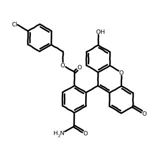 NC(=O)c1ccc(C(=O)OCc2ccc(Cl)cc2)c(-c2c3ccc(=O)cc-3oc3cc(O)ccc23)c1